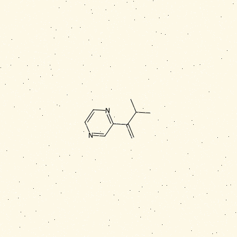 C=C(c1cnccn1)C(C)C